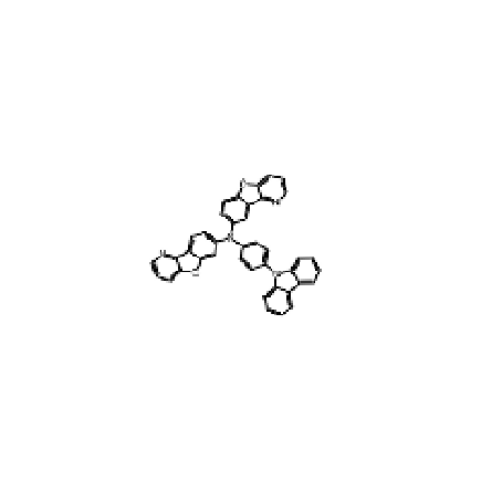 c1cnc2c(c1)oc1cc(N(c3ccc(-n4c5ccccc5c5ccccc54)cc3)c3ccc4oc5cccnc5c4c3)ccc12